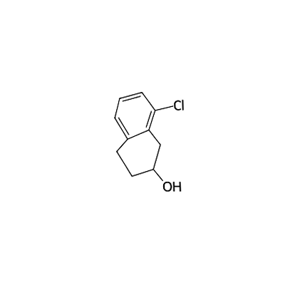 OC1CCc2cccc(Cl)c2C1